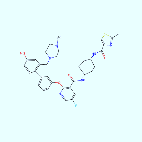 CC(=O)N1CCN(Cc2cc(O)ccc2-c2cccc(Oc3ncc(F)cc3C(=O)N[C@H]3CC[C@H](NC(=O)c4csc(C)n4)CC3)c2)CC1